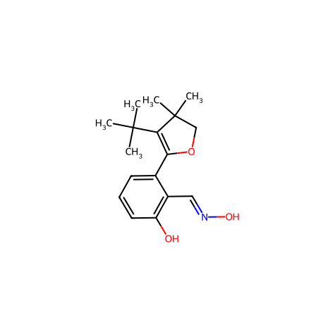 CC(C)(C)C1=C(c2cccc(O)c2C=NO)OCC1(C)C